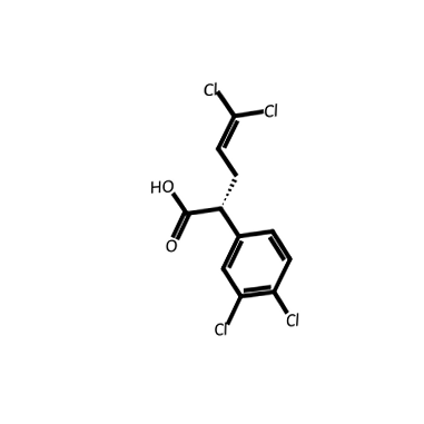 O=C(O)[C@H](CC=C(Cl)Cl)c1ccc(Cl)c(Cl)c1